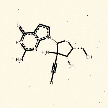 Nc1nc2c(ccn2[C@@H]2O[C@H](CO)[C@H](O)C2(N)C#CCl)c(=O)[nH]1